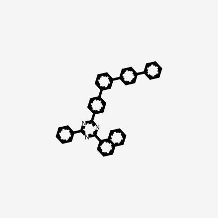 c1ccc(-c2ccc(-c3cccc(-c4ccc(-c5nc(-c6ccccc6)nc(-c6cccc7ccccc67)n5)cc4)c3)cc2)cc1